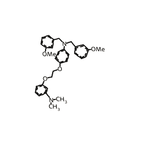 COc1cccc(CN(Cc2cccc(OC)c2)c2ccc(OCCOc3cccc(N(C)C)c3)cc2)c1